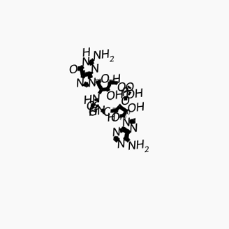 Nc1nc2c(ncn2[C@@H]2O[C@@H]3COP(=O)(O)OC4[C@@H](CNS(=O)(=O)NC2C3O)O[C@@H](n2cnc3c(N)ncnc32)[C@H]4O)c(=O)[nH]1